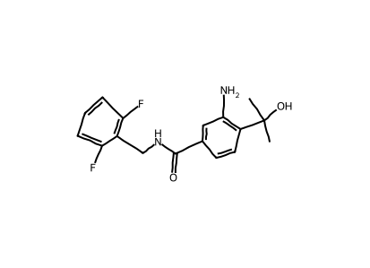 CC(C)(O)c1ccc(C(=O)NCc2c(F)cccc2F)cc1N